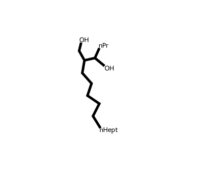 CCCCCCCCCCCCC(CO)C(O)CCC